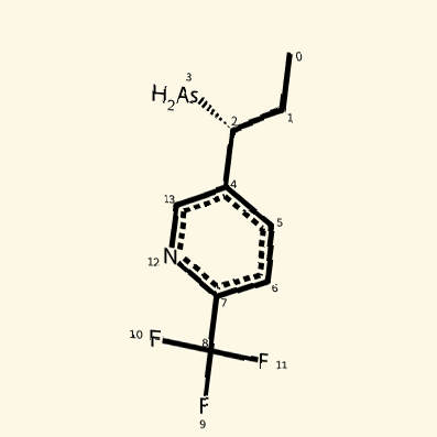 CC[C@@H]([AsH2])c1ccc(C(F)(F)F)nc1